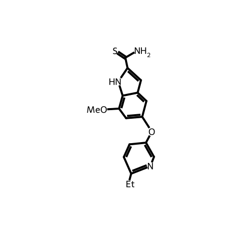 CCc1ccc(Oc2cc(OC)c3[nH]c(C(N)=S)cc3c2)cn1